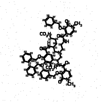 Cn1ccc(C(=O)NCCN(CCNC(=O)c2ccn(C)c(=O)c2OCc2ccccc2)CC(CCCC(=O)O)NC(=O)c2ccc(C(=O)O)c(OCc3ccccc3)c2OCc2ccccc2)c(OCc2ccccc2)c1=O